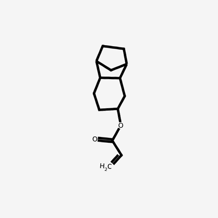 C=CC(=O)OC1CCC2C3CCC(C3)C2C1